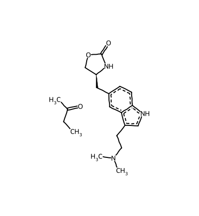 CCC(C)=O.CN(C)CCc1c[nH]c2ccc(C[C@H]3COC(=O)N3)cc12